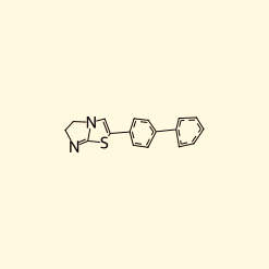 C1=C(c2ccc(-c3ccccc3)cc2)SC2=NCCN12